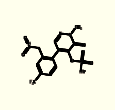 CCCS(=O)(=O)Oc1c(-c2ccc(C(F)(F)F)cc2C[SH](=O)=O)cnn(C)c1=O